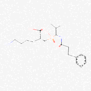 CC(C)C(NC(=O)CCc1ccccc1)P(=O)(O)C[C@@H](CCCCN)C(=O)O